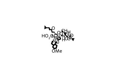 C=C[C@@H]1C[C@]1(NC(=O)[C@@H]1C[C@@H](Oc2nccc3cc(OC)ccc23)CN1C(=O)[C@H](CCC(=O)/C=C/C1CC1)N(C(=O)O)C(C)(C)C)C(=O)NS(=O)(=O)C1CC1